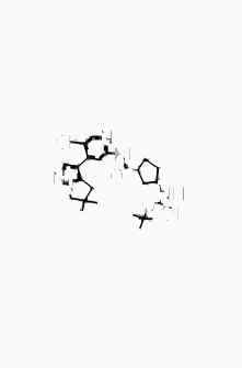 CC1(C)Cc2c(-c3cc(NC(=O)[C@H]4CC[C@@H](N[C@@H](O)OC(C)(C)C)C4)ncc3Cl)cnn2C1